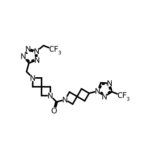 O=C(N1CC2(CC(n3cnc(C(F)(F)F)n3)C2)C1)N1CC2(CN(Cc3nnn(CC(F)(F)F)n3)C2)C1